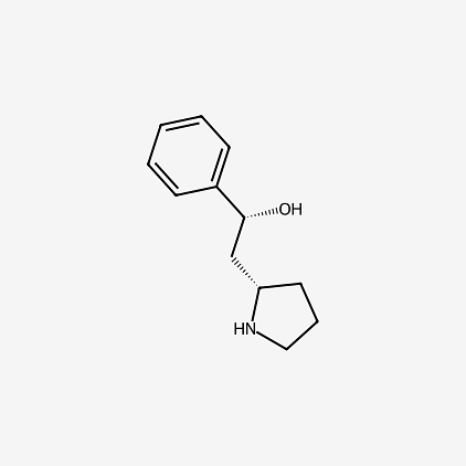 O[C@H](C[C@@H]1CCCN1)c1ccccc1